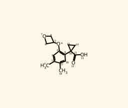 Cc1cc(OC2COC2)c(C2(C(=O)O)CC2)cc1C